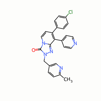 Cc1ccc(Cn2nc3c(-c4ccncc4)c(-c4ccc(Cl)cc4)ccn3c2=O)cn1